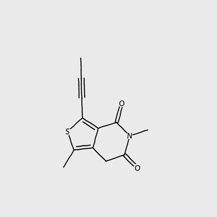 CC#Cc1sc(C)c2c1C(=O)N(C)C(=O)C2